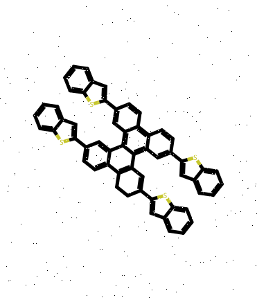 C1=C(c2cc3ccccc3s2)CCc2c1c1c3cc(-c4cc5ccccc5s4)ccc3c3ccc(-c4cc5ccccc5s4)cc3c1c1cc(-c3cc4ccccc4s3)ccc21